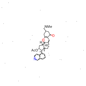 CNCC1CC(=O)C2=C(C1)O[C@@H]1C(=C2)CC[C@]2(C)[C@@H](c3cccc4cnccc34)C(OC(C)=O)C[C@@H]12